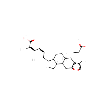 C/C(=C/C=C\[C@@H](C)[C@H]1CC[C@@]2(C)[C@@H]3Cc4occ(C)c4[C@@H](CCC(=O)O)[C@]3(C)CC[C@]12C)C(=O)O